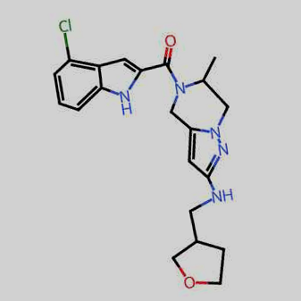 CC1Cn2nc(NCC3CCOC3)cc2CN1C(=O)c1cc2c(Cl)cccc2[nH]1